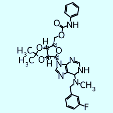 CN(Cc1cccc(F)c1)C1NC=Nc2c1ncn2[C@@H]1O[C@H](COC(=O)Nc2ccccc2)[C@H]2OC(C)(C)O[C@H]21